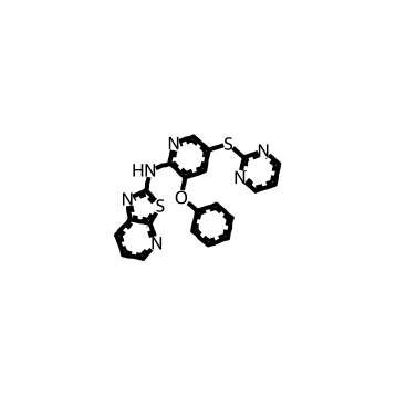 c1ccc(Oc2cc(Sc3ncccn3)cnc2Nc2nc3cccnc3s2)cc1